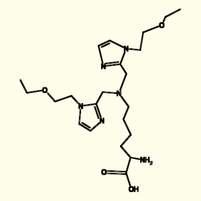 CCOCCn1ccnc1CN(CCCCC(N)C(=O)O)Cc1nccn1CCOCC